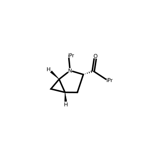 CC(C)C(=O)[C@@H]1C[C@@H]2C[C@@H]2N1C(C)C